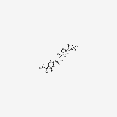 CN(Cc1ccc(C(=O)N(C)C)c(Cl)c1)CC1CC12CCN(C(=O)OC(C)(C)C)CC2